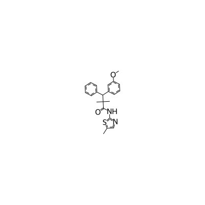 COc1cccc(C(c2ccccc2)C(C)(C)C(=O)Nc2ncc(C)s2)c1